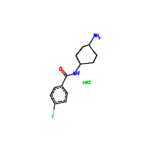 Cl.NC1CCC(NC(=O)c2ccc(F)cc2)CC1